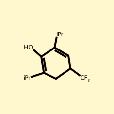 CC(C)C1=CC(C(F)(F)F)CC(C(C)C)=C1O